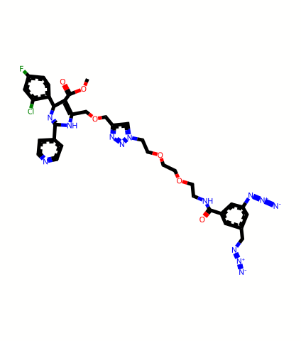 COC(=O)C1=C(COCc2cn(CCOCCOCCNC(=O)c3cc(CN=[N+]=[N-])cc(N=[N+]=[N-])c3)nn2)NC(c2ccncc2)=NC1c1ccc(F)cc1Cl